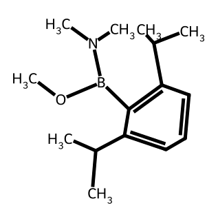 COB(c1c(C(C)C)cccc1C(C)C)N(C)C